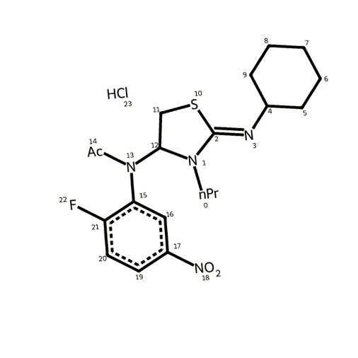 CCCN1C(=NC2CCCCC2)SCC1N(C(C)=O)c1cc([N+](=O)[O-])ccc1F.Cl